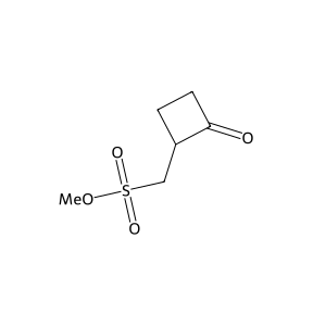 COS(=O)(=O)CC1CCC1=O